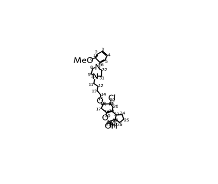 COc1ccccc1N1CCN(CCCCO[C@H]2CC3=C(C[C@H]2Cl)C2CCC[C@@H]2[C@H](O)O3)CC1